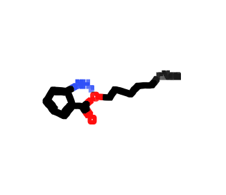 CCCCCCCCCCCCCCOC(=O)c1ccccc1N